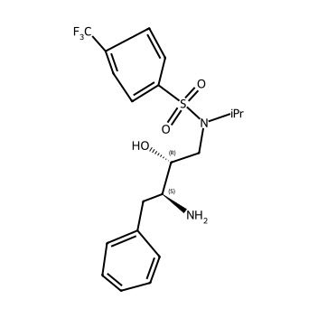 CC(C)N(C[C@@H](O)[C@@H](N)Cc1ccccc1)S(=O)(=O)c1ccc(C(F)(F)F)cc1